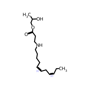 CC/C=C\C/C=C\CCCCNCCC(=O)OCC(C)O